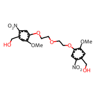 COc1cc(CO)c([N+](=O)[O-])cc1OCCOCCOc1cc([N+](=O)[O-])c(CO)cc1OC